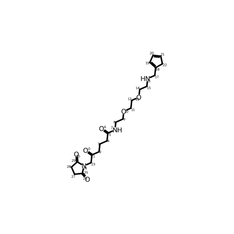 O=C(CCCC(=O)NCCOCCOCCNCC1=CC=CC1)CN1C(=O)CCC1=O